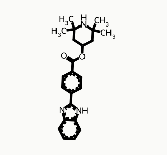 CC1(C)CC(OC(=O)c2ccc(-c3nc4ccccc4[nH]3)cc2)CC(C)(C)N1